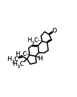 C=CC1(C)CC[C@H]2C3CCC4=CC(=O)CC[C@]4(C)C3=CC[C@@]21C